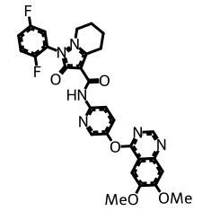 COc1cc2ncnc(Oc3ccc(NC(=O)c4c5n(n(-c6cc(F)ccc6F)c4=O)CCCC5)nc3)c2cc1OC